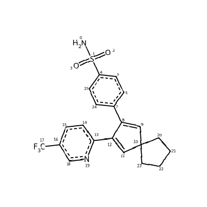 NS(=O)(=O)c1ccc(C2=CC3(C=C2c2ccc(C(F)(F)F)cn2)CCCC3)cc1